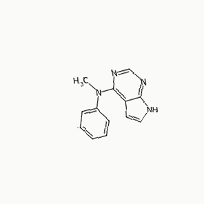 CN(c1c[c]ccc1)c1ncnc2[nH]ccc12